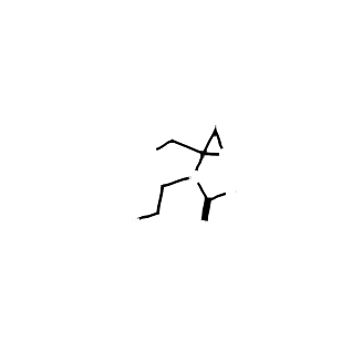 CCC1(N(CCN)C(=O)O)CO1